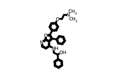 CN(C)CCOc1ccc(-c2oc3nccc(NCC(O)c4ccccc4)c3c2-c2ccccc2)cc1